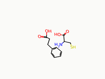 NC(CS)C(=O)O.O=C(O)CCc1ccccc1